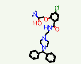 CN(C)C(O)COc1cc(Cl)ccc1C(=O)NCCN1CCN(C(c2ccccc2)c2ccccc2)CC1